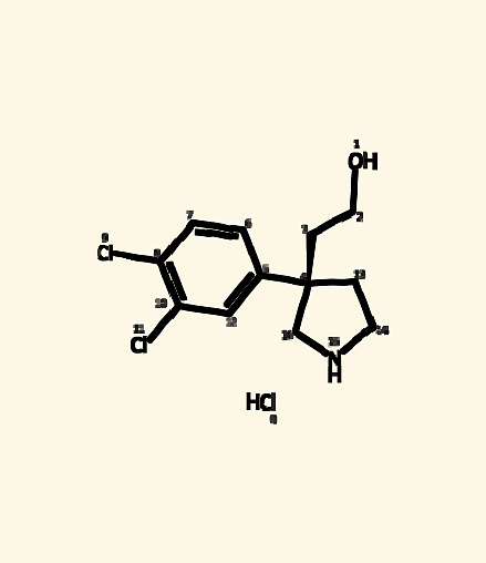 Cl.OCC[C@@]1(c2ccc(Cl)c(Cl)c2)CCNC1